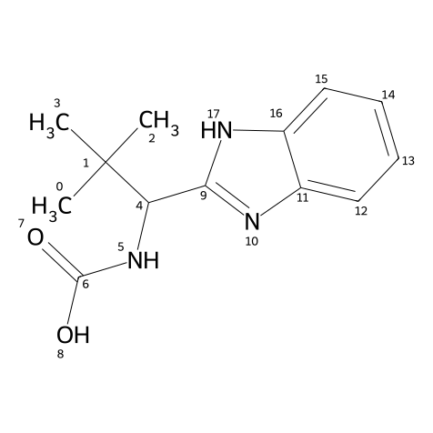 CC(C)(C)C(NC(=O)O)c1nc2ccccc2[nH]1